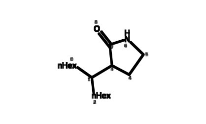 CCCCCCC(CCCCCC)C1CCNC1=O